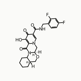 O=C(NCc1ccc(F)cc1F)c1cn2c(c(O)c1=O)C(=O)N1C3CCCC[C@H]3CO[C@@H]1C2